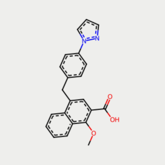 COc1c(C(=O)O)cc(Cc2ccc(-n3cccn3)cc2)c2ccccc12